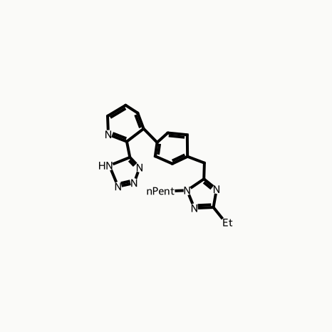 CCCCCn1nc(CC)nc1Cc1ccc(-c2cccnc2-c2nnn[nH]2)cc1